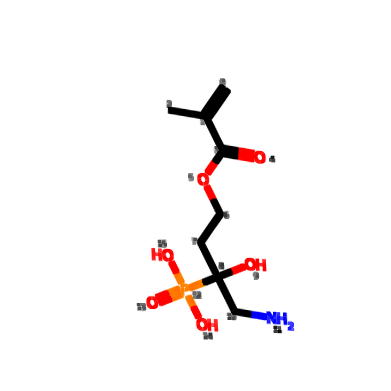 C=C(C)C(=O)OCCC(O)(CN)P(=O)(O)O